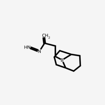 C=C(CCB1C2CCCC1CCC2)N=N